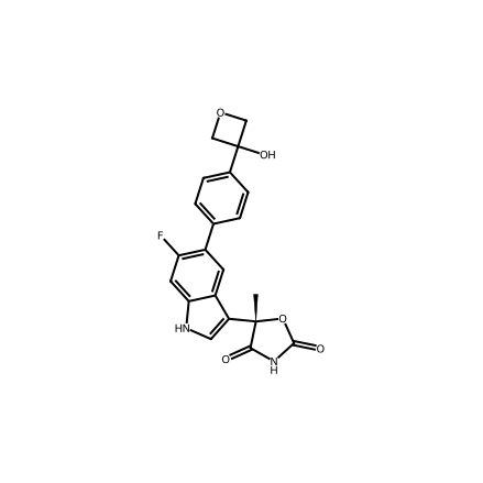 C[C@@]1(c2c[nH]c3cc(F)c(-c4ccc(C5(O)COC5)cc4)cc23)OC(=O)NC1=O